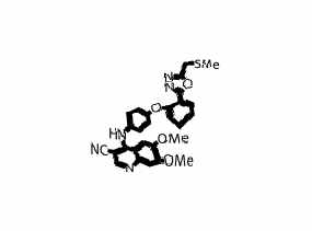 COc1cc2ncc(C#N)c(Nc3ccc(Oc4ccccc4-c4nnc(CSC)o4)cc3)c2cc1OC